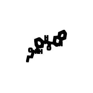 CCCC(=O)Nc1cccc(NC(=O)c2cnc3ccccc3c2)c1